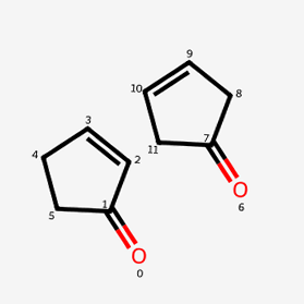 O=C1C=CCC1.O=C1CC=CC1